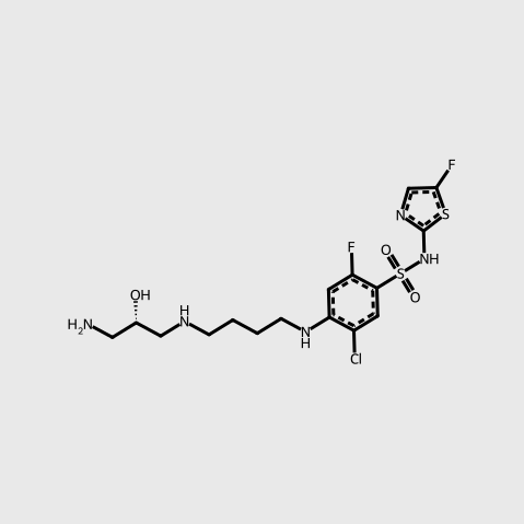 NC[C@H](O)CNCCCCNc1cc(F)c(S(=O)(=O)Nc2ncc(F)s2)cc1Cl